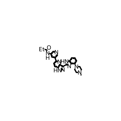 CCC(=O)Nc1cncc(-c2ccc3[nH]nc(-c4nc5c(N6CCN(C)CC6)cccc5[nH]4)c3n2)c1